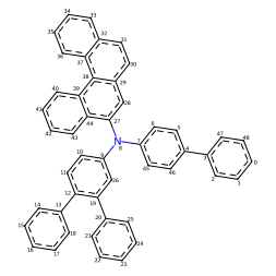 c1ccc(-c2ccc(N(c3ccc(-c4ccccc4)c(-c4ccccc4)c3)c3cc4ccc5ccccc5c4c4ccccc34)cc2)cc1